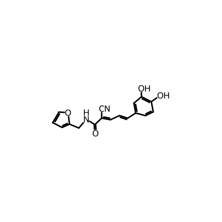 N#C/C(=C\C=C\c1ccc(O)c(O)c1)C(=O)NCc1ccco1